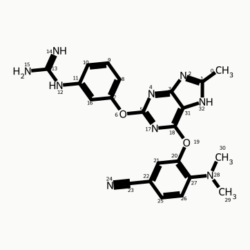 Cc1nc2nc(Oc3cccc(NC(=N)N)c3)nc(Oc3cc(C#N)ccc3N(C)C)c2[nH]1